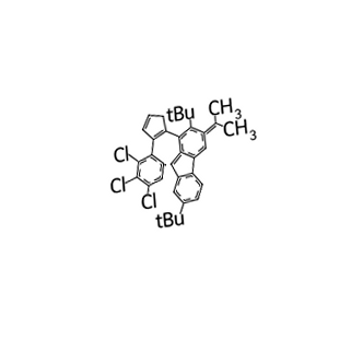 CC(C)=c1cc2c(c(C3=C(c4ccc(Cl)c(Cl)c4Cl)C=CC3)c1C(C)(C)C)=[C]c1cc(C(C)(C)C)ccc1-2